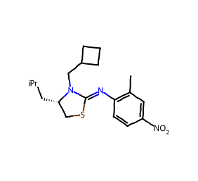 Cc1cc([N+](=O)[O-])ccc1N=C1SC[C@H](CC(C)C)N1CC1CCC1